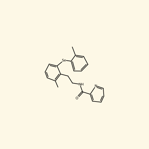 Cc1ccccc1[Se]c1cccc(C)c1CCNC(=O)c1ccccn1